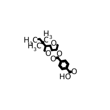 CCC(C)(C)C1COC2C(OC(=O)c3ccc(C(=O)O)cc3)COC21